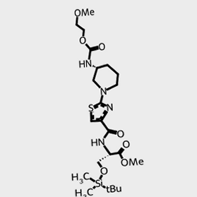 COCCOC(=O)N[C@@H]1CCCN(c2nc(C(=O)N[C@@H](CO[Si](C)(C)C(C)(C)C)C(=O)OC)cs2)C1